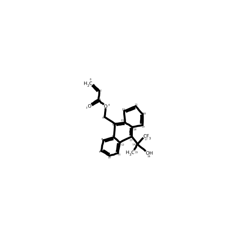 C=CC(=O)OCc1c2ccccc2c(C(C)(O)C(F)(F)F)c2ccccc12